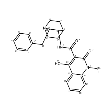 CC(C)n1c(=O)c(C(=O)NC2C3CCN(CC3)C2Cc2ccccc2)c(O)c2ccccc21